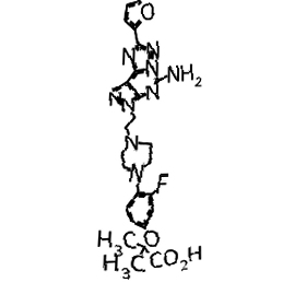 CC(C)(Oc1ccc(N2CCN(CCn3ncc4c3nc(N)n3nc(-c5ccco5)nc43)CC2)c(F)c1)C(=O)O